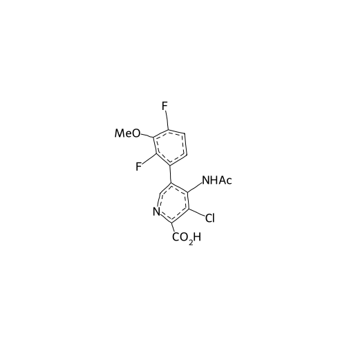 COc1c(F)ccc(-c2cnc(C(=O)O)c(Cl)c2NC(C)=O)c1F